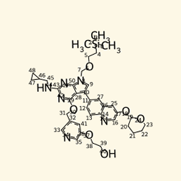 C[Si](C)(C)CCOCn1cc(-c2ccc3ncc(OC4CCCCO4)cc3c2)c2c(OCc3cncc(OCCO)c3)nc(NCC3CC3)nc21